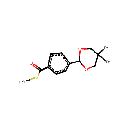 CCCSC(=O)c1ccc(C2OCC(CC)(CC)CO2)cc1